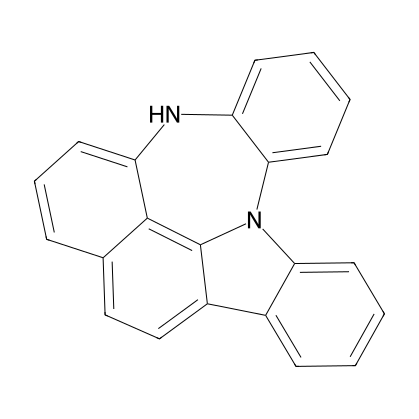 c1cc2ccc3c4ccccc4n4c5ccccc5[nH]c(c1)c2c34